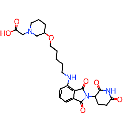 O=C(O)CN1CCCC(OCCCCCNc2cccc3c2C(=O)N(C2CCC(=O)NC2=O)C3=O)C1